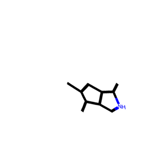 CC1CC2C(C)NCC2C1C